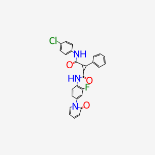 O=C(Nc1ccc(Cl)cc1)C1C(C(=O)Nc2ccc(-n3ccccc3=O)cc2F)C1c1ccccc1